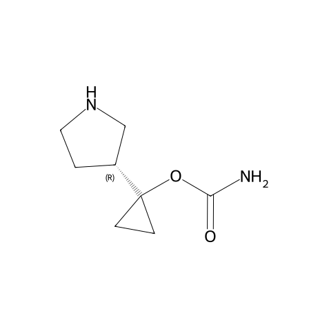 NC(=O)OC1([C@@H]2CCNC2)CC1